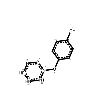 Oc1ccc(On2pn[pH][nH][pH]2)cc1